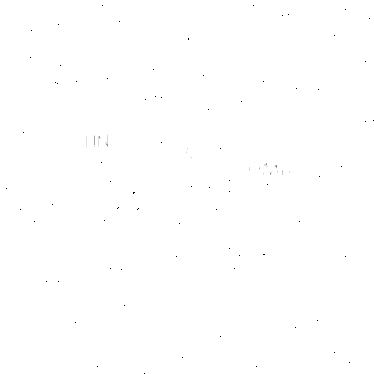 COc1ccccc1-c1cc2[nH]ccc2o1